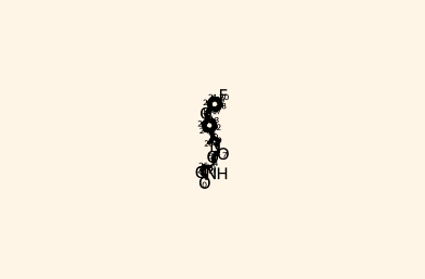 O=C1N[C@H](COC(=O)N2CC(c3ccc(Oc4ccc(F)cc4)cc3)C2)CO1